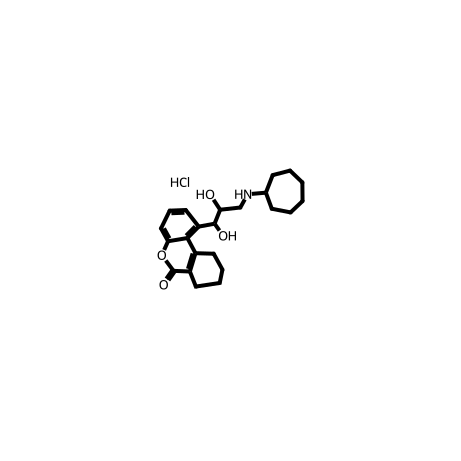 Cl.O=c1oc2cccc(C(O)C(O)CNC3CCCCCC3)c2c2c1CCCC2